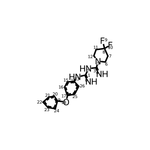 N=C(NC(=N)N1CCC(F)(F)CC1)Nc1ccc(Oc2ccccc2)cc1